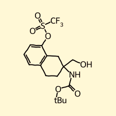 CC(C)(C)OC(=O)NC1(CO)CCc2cccc(OS(=O)(=O)C(F)(F)F)c2C1